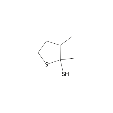 CC1CCSC1(C)S